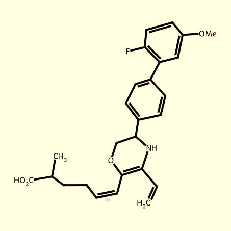 C=CC1=C(/C=C\CCC(C)C(=O)O)OCC(c2ccc(-c3cc(OC)ccc3F)cc2)N1